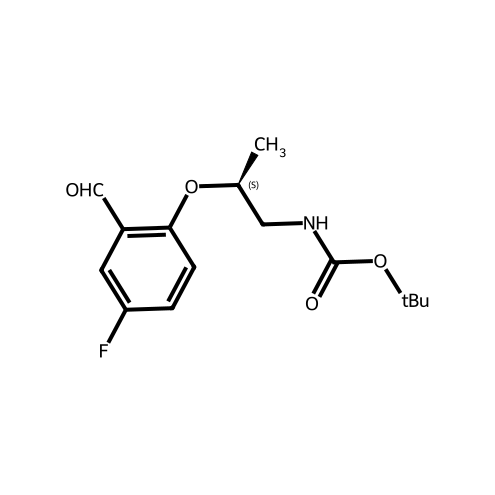 C[C@@H](CNC(=O)OC(C)(C)C)Oc1ccc(F)cc1C=O